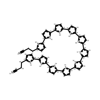 N#CCCc1ccc(-c2ccc(-c3ccc(-c4ccc(-c5ccc(-c6ccc(-c7ccc(-c8ccc(-c9ccc(-c%10ccc(-c%11ccc(CCC#N)s%11)s%10)s9)s8)s7)s6)s5)s4)s3)s2)s1